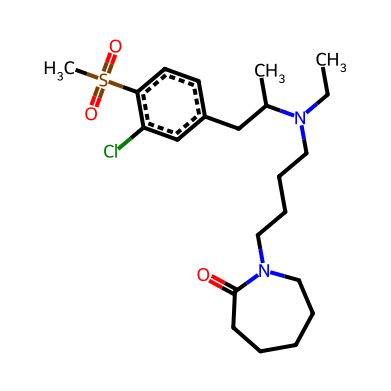 CCN(CCCCN1CCCCCC1=O)C(C)Cc1ccc(S(C)(=O)=O)c(Cl)c1